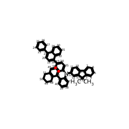 CC1(C)c2ccccc2-c2ccc(N(c3ccc(-c4ccc(-c5ccccc5)c5ccccc45)cc3)c3ccccc3-c3cccc4c3CCCC4)cc21